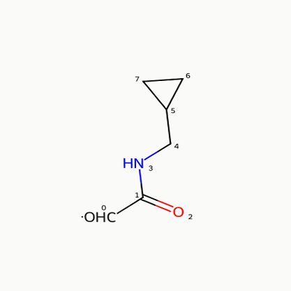 O=[C]C(=O)NCC1CC1